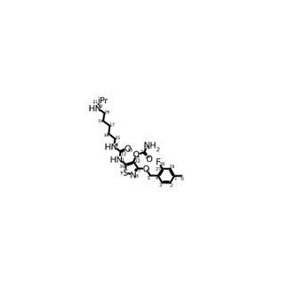 Cc1ccc(COc2nsc(NC(=O)NCCCCCNC(C)C)c2OC(N)=O)c(F)c1